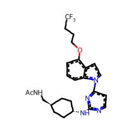 CC(=O)NC[C@H]1CC[C@H](Nc2nccc(-n3ccc4c(OCCCC(F)(F)F)cccc43)n2)CC1